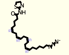 [N-]=[N+]=NCCCCC/C=C\C/C=C\C/C=C\C/C=C\CCCC(=O)NC1=NCCS1